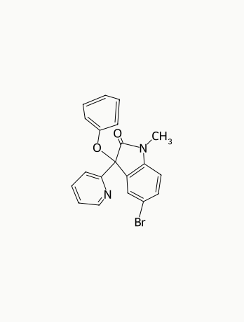 CN1C(=O)C(Oc2ccccc2)(c2ccccn2)c2cc(Br)ccc21